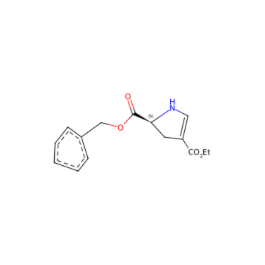 CCOC(=O)C1=CN[C@H](C(=O)OCc2ccccc2)C1